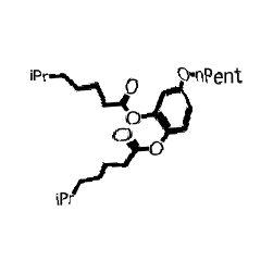 CCCCCOc1ccc(OC(=O)CCCCC(C)C)c(OC(=O)CCCCC(C)C)c1